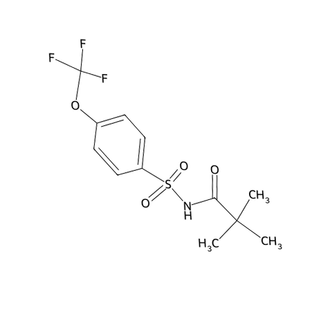 CC(C)(C)C(=O)NS(=O)(=O)c1ccc(OC(F)(F)F)cc1